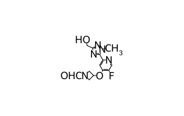 Cn1nc(CO)nc1-c1cc(OC2CN(C=O)C2)c(F)cn1